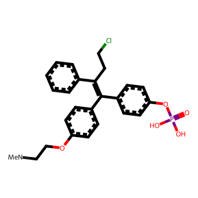 CNCCOc1ccc(/C(=C(/CCCl)c2ccccc2)c2ccc(OP(=O)(O)O)cc2)cc1